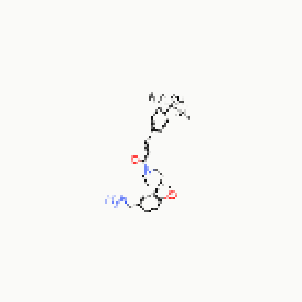 CC(C)(C)c1ccc(/C=C/C(=O)N2CCC3(CC2)COc2ccc(CN)cc23)cc1